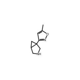 Cc1cc(C23CNCC2C3)no1